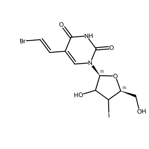 O=c1[nH]c(=O)n([C@H]2O[C@@H](CO)C(I)C2O)cc1C=CBr